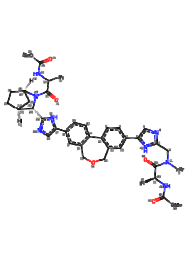 CCCN(Cc1ncc(-c2ccc3c(c2)COCc2cc(-c4cnc([C@@H]5[C@H]6CC[C@H](C6)N5C(=O)C(NC(=O)OC)C(C)C)[nH]4)ccc2-3)[nH]1)C(=O)[C@@H](NC(=O)OC)C(C)C